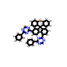 c1ccc(-c2ncnc(-c3cccc(C4(c5cccc(-c6ncnc(-c7ccccc7)n6)c5)c5ccccc5Sc5ccccc54)c3)n2)cc1